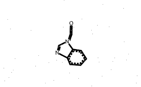 O=C=[N+]1C=Nc2ccccc21